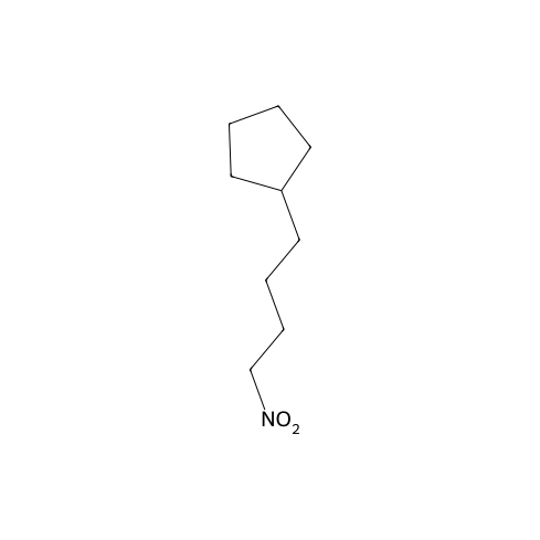 O=[N+]([O-])CCCCC1CCCC1